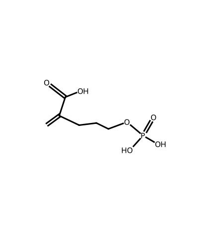 C=C(CCCOP(=O)(O)O)C(=O)O